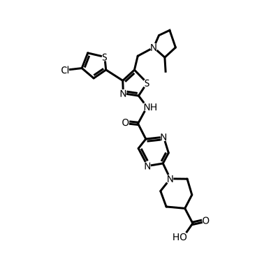 CC1CCCN1Cc1sc(NC(=O)c2cnc(N3CCC(C(=O)O)CC3)cn2)nc1-c1cc(Cl)cs1